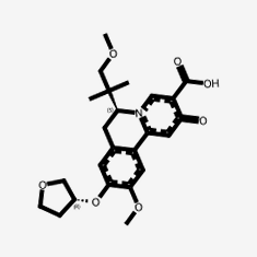 COCC(C)(C)[C@@H]1Cc2cc(O[C@@H]3CCOC3)c(OC)cc2-c2cc(=O)c(C(=O)O)cn21